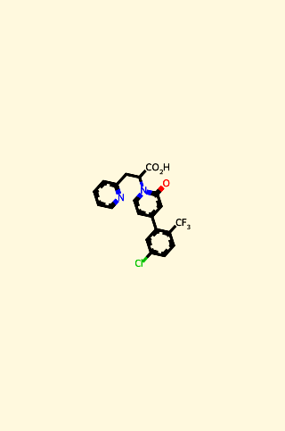 O=C(O)C(Cc1ccccn1)n1ccc(-c2cc(Cl)ccc2C(F)(F)F)cc1=O